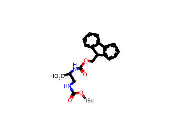 CC(C)(C)OC(=O)NCC(NC(=O)OCC1c2ccccc2-c2ccccc21)C(=O)O